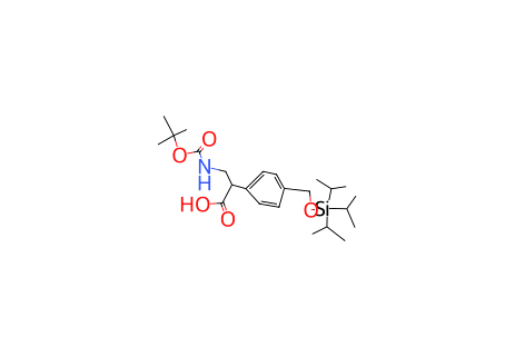 CC(C)[Si](OCc1ccc(C(CNC(=O)OC(C)(C)C)C(=O)O)cc1)(C(C)C)C(C)C